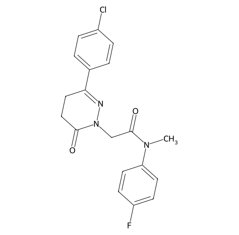 CN(C(=O)CN1N=C(c2ccc(Cl)cc2)CCC1=O)c1ccc(F)cc1